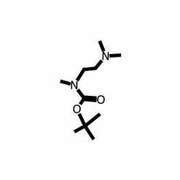 CN(C)CCN(C)C(=O)OC(C)(C)C